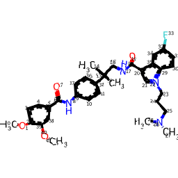 COc1ccc(C(=O)Nc2ccc(C(C)(C)CNC(=O)c3cn(CCCN(C)C)c4ccc(F)cc34)cc2)cc1OC